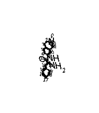 CN1CCc2ccc(NC(=O)[C@H](N)Cc3ccccc3)cc2CC1